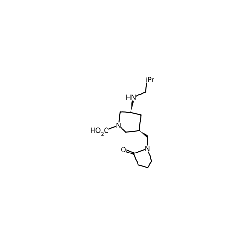 CC(C)CN[C@H]1C[C@@H](CN2CCCC2=O)CN(C(=O)O)C1